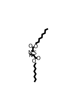 CCCCCCCCOC(=O)c1nnc(C(=O)OCCCCCCCC)s1